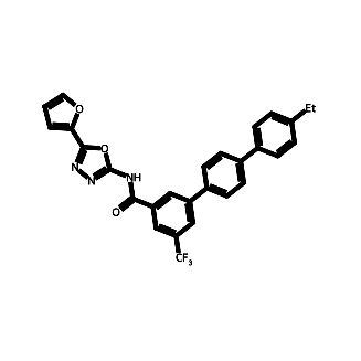 CCc1ccc(-c2ccc(-c3cc(C(=O)Nc4nnc(-c5ccco5)o4)cc(C(F)(F)F)c3)cc2)cc1